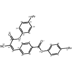 CCCCc1ccc(OC(=O)c2ccc(C=C(C#N)C(=O)Oc3ccc(CCC)cc3)cc2)cc1